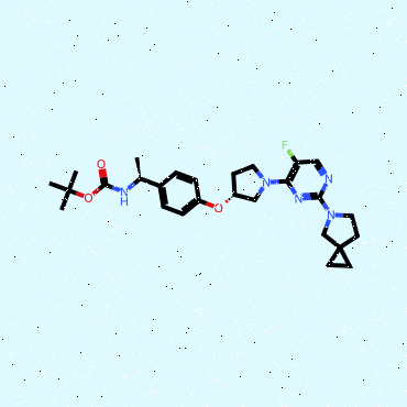 C[C@H](NC(=O)OC(C)(C)C)c1ccc(O[C@@H]2CCN(c3nc(N4CCC5(CC5)C4)ncc3F)C2)cc1